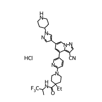 CCC1(C(=O)NC(C)C(F)(F)F)CCN(c2ccc(-c3cc(-c4cnn(C5CCNCC5)c4)cn4ncc(C#N)c34)cn2)CC1.Cl